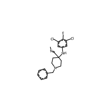 C/N=C/C1(Nc2cc(Cl)c(F)c(Cl)c2)CCN(Cc2ccccc2)CC1